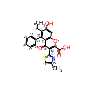 CCc1c(O)cc2oc(C(=O)O)c(-c3nc(C)cs3)c(=O)c2c1-c1ccccc1